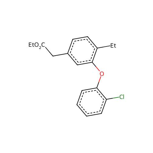 CCOC(=O)Cc1ccc(CC)c(Oc2ccccc2Cl)c1